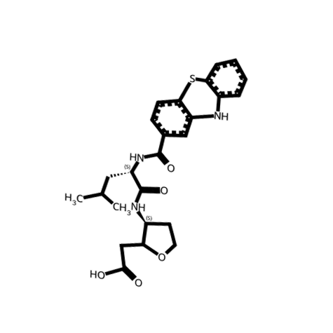 CC(C)C[C@H](NC(=O)c1ccc2c(c1)Nc1ccccc1S2)C(=O)N[C@H]1CCOC1CC(=O)O